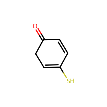 O=C1C=CC(S)=CC1